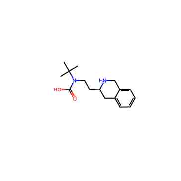 CC(C)(C)N(CC[C@@H]1Cc2ccccc2CN1)C(=O)O